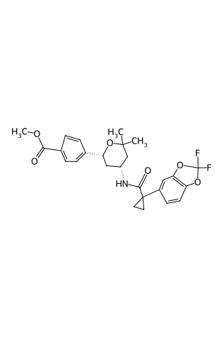 COC(=O)c1ccc([C@H]2C[C@@H](NC(=O)C3(c4ccc5c(c4)OC(F)(F)O5)CC3)CC(C)(C)O2)cc1